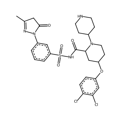 CC1=NN(c2cccc(S(=O)(=O)NC(=O)C3CC(Oc4ccc(Cl)c(Cl)c4)CCN3C3CCNCC3)c2)C(=O)C1